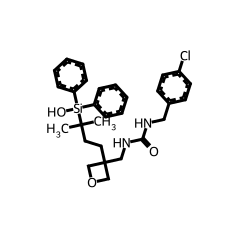 CC(C)(CCC1(CNC(=O)NCc2ccc(Cl)cc2)COC1)[Si](O)(c1ccccc1)c1ccccc1